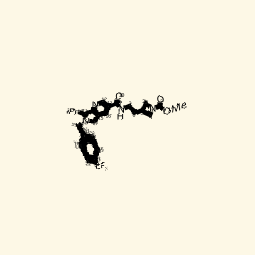 COC(=O)N1CC(CCNC(=O)c2cnc3c(c2)CN(Cc2ccc(C(F)(F)F)cc2)C3C(C)C)C1